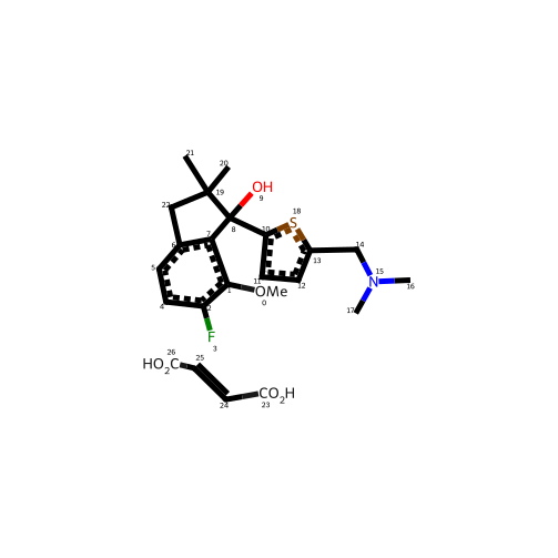 COc1c(F)ccc2c1C(O)(c1ccc(CN(C)C)s1)C(C)(C)C2.O=C(O)/C=C/C(=O)O